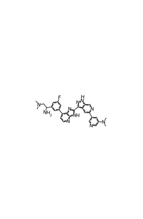 CN(C)CC(N)c1cc(F)cc(-c2ccnc3[nH]c(-c4n[nH]c5cnc(-c6cncc(N(C)C)c6)cc45)nc23)c1